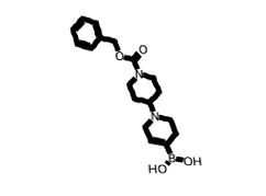 O=C(OCc1ccccc1)N1CCC(N2CC=C(B(O)O)CC2)CC1